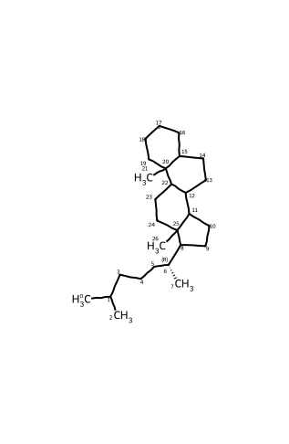 CC(C)CCC[C@@H](C)C1CCC2C3CCC4C[CH]CCC4(C)C3CCC21C